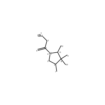 C=C(CC(C)(C)C)N1CC(C)C(C)(C)C1C